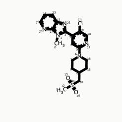 Cn1c(-c2cc(N3CCC(CS(C)(=O)=O)CC3)ncc2Cl)nc2cccnc21